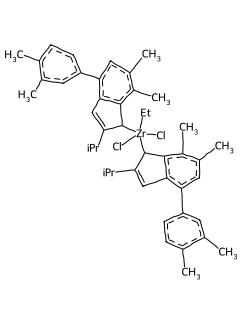 C[CH2][Zr]([Cl])([Cl])([CH]1C(C(C)C)=Cc2c(-c3ccc(C)c(C)c3)cc(C)c(C)c21)[CH]1C(C(C)C)=Cc2c(-c3ccc(C)c(C)c3)cc(C)c(C)c21